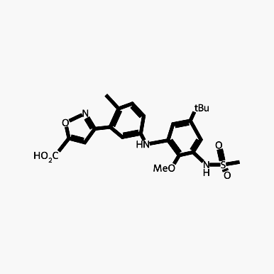 COc1c(Nc2ccc(C)c(-c3cc(C(=O)O)on3)c2)cc(C(C)(C)C)cc1NS(C)(=O)=O